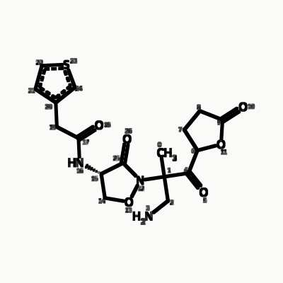 CC(CN)(C(=O)C1CCC(=O)O1)N1OC[C@H](NC(=O)Cc2ccsc2)C1=O